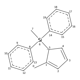 CC1=CC=C[C]1[Si](C)(c1ccccc1)c1ccccc1